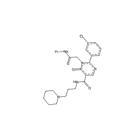 CC(C)NC(=O)Cn1c(-c2cccc(Cl)c2)ncc(C(=O)NCCCN2CCCCC2)c1=O